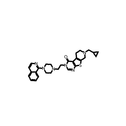 O=c1c2c3c(sc2ncn1CCN1CCN(c2nccc4ccccc24)CC1)CN(CC1CC1)CC3